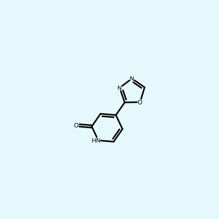 O=c1cc(-c2nnco2)cc[nH]1